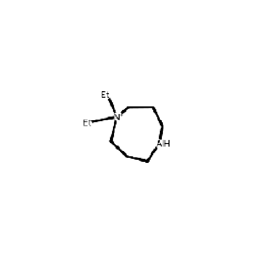 CC[N+]1(CC)CC[CH2][AlH][CH2]CC1